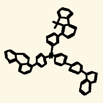 CC1(C)c2ccccc2-c2cccc(-c3cccc(N(c4ccc(-c5ccc(-c6cccc7ccccc67)cc5)cc4)c4ccc(-c5cccc6c5ccc5ccccc56)cc4)c3)c21